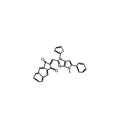 Cn1c(-c2ccccc2)cc2c1nc(C=C1C(=O)c3cc4ccccc4cc3C1=O)n2-c1cccs1